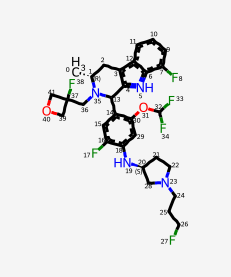 C[C@@H]1Cc2c([nH]c3c(F)cccc23)C(c2cc(F)c(N[C@H]3CCN(CCCF)C3)cc2OC(F)F)N1CC1(F)COC1